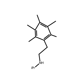 Cc1c(C)c(C)c(CCNC(C)C)c(C)c1C